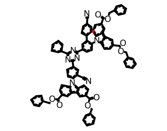 N#Cc1ccc(-c2cc(-c3nc(-c4ccccc4)nc(-c4ccc(-n5c6ccc(C(=O)OCc7ccccc7)cc6c6cc(C(=O)OCc7ccccc7)ccc65)c(C#N)c4)n3)ccc2-n2c3ccc(C(=O)OCc4ccccc4)cc3c3cc(C(=O)OCc4ccccc4)ccc32)cc1